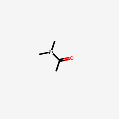 C[C](=O)[Pt]([CH3])[CH3]